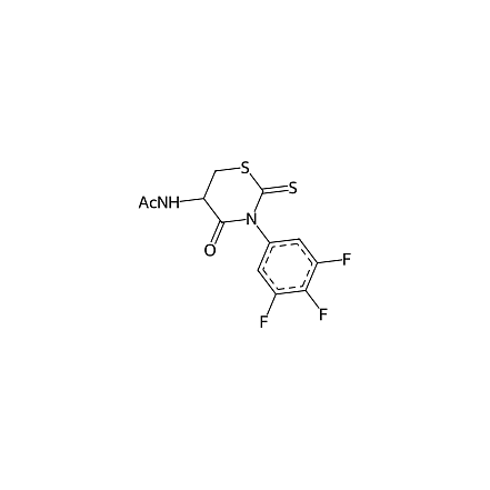 CC(=O)NC1CSC(=S)N(c2cc(F)c(F)c(F)c2)C1=O